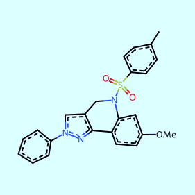 COc1ccc2c(c1)N(S(=O)(=O)c1ccc(C)cc1)Cc1cn(-c3ccccc3)nc1-2